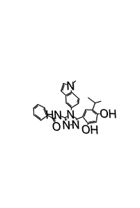 CC(C)c1cc(-c2nnc(NC(=O)c3ccccc3)n2-c2ccc3c(ccn3C)c2)c(O)cc1O